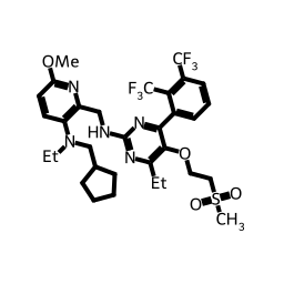 CCc1nc(NCc2nc(OC)ccc2N(CC)CC2CCCC2)nc(-c2cccc(C(F)(F)F)c2C(F)(F)F)c1OCCS(C)(=O)=O